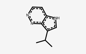 CC(C)c1c[nH]c2ccnnc12